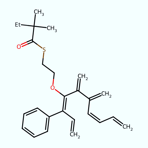 C=C/C=C\C(=C)C(=C)/C(OCCSC(=O)C(C)(C)CC)=C(\C=C)c1ccccc1